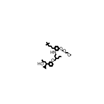 C=C(O)CC(c1cccc(OCC(CCC)CCNc2cc(OCOCCOC)ccc2CCCC(C)(C)C)c1)C1CC1